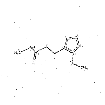 CCn1nccc1CCC(=O)NC